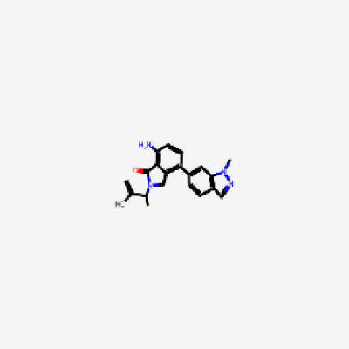 C=C(C#N)C(C)N1Cc2c(-c3ccc4cnn(C)c4c3)ccc(N)c2C1=O